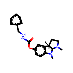 CN1CC[C@@]2(C)c3cc(OC(=O)NNCc4ccccc4)ccc3N(C)C12